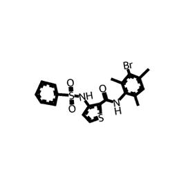 Cc1cc(C)c(NC(=O)c2sccc2NS(=O)(=O)c2ccccc2)c(C)c1Br